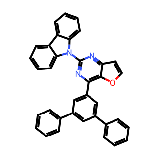 c1ccc(-c2cc(-c3ccccc3)cc(-c3nc(-n4c5ccccc5c5ccccc54)nc4ccoc34)c2)cc1